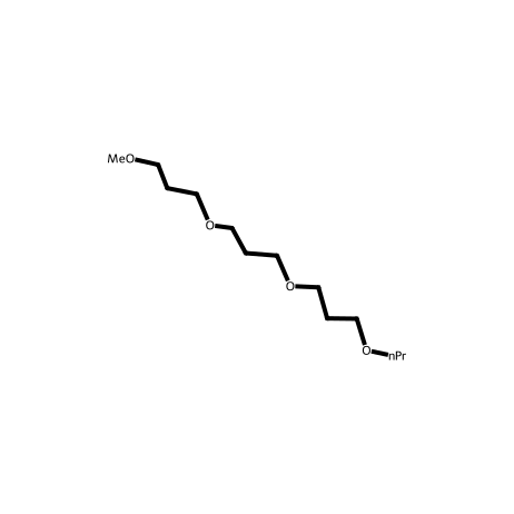 [CH2]CCOCCCOCCCOCCCOC